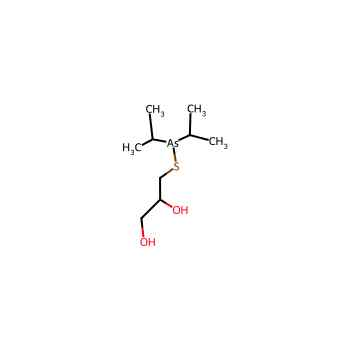 CC(C)[As](SCC(O)CO)C(C)C